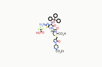 CCOC(=O)N1CCC(N2CC/C(=C\S3=C(C(=O)O)N4C(=O)[C@H](NC(=O)/C(=N\OC(c5ccccc5)(c5ccccc5)c5ccccc5)c5csc(N)n5)[C@H]4CC3)C2=O)CC1.O=C(O)C(F)(F)F